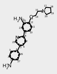 Nc1ccc(-c2ccc(-c3ccc(OCCN4CCCC4)c(N)c3)nc2)cc1